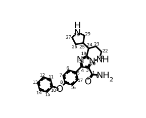 NC(=O)c1c(-c2ccc(Oc3ccccc3)cc2)nc2n1NCCC2C1CCNC1